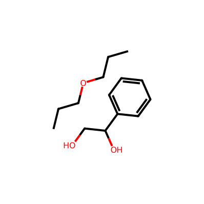 CCCOCCC.OCC(O)c1ccccc1